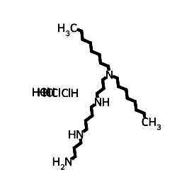 CCCCCCCCN(CCCCCCCC)CCCNCCCCNCCCN.Cl.Cl.Cl.Cl